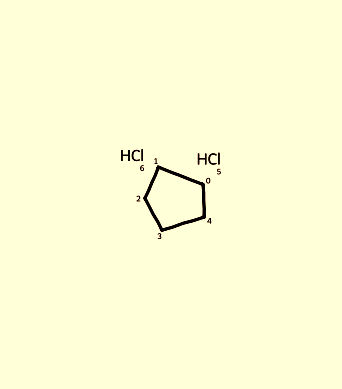 C1CCCC1.Cl.Cl